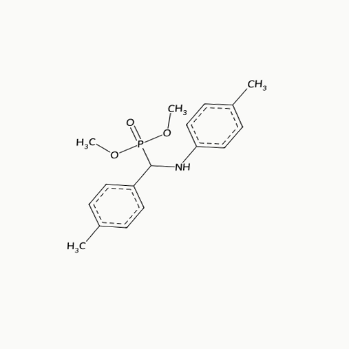 COP(=O)(OC)C(Nc1ccc(C)cc1)c1ccc(C)cc1